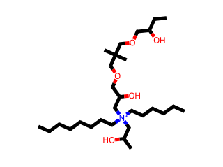 CCCCCCCC[N+](CCCCCC)(CC(C)O)CC(O)COCC(C)(C)COCC(O)CC